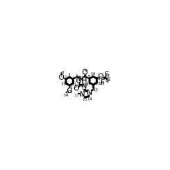 COc1cc(CNC(=O)c2cc(Cn3ccn(C)/c3=N\C(=O)O)cc(OC(F)(F)F)c2)cc(OC)c1